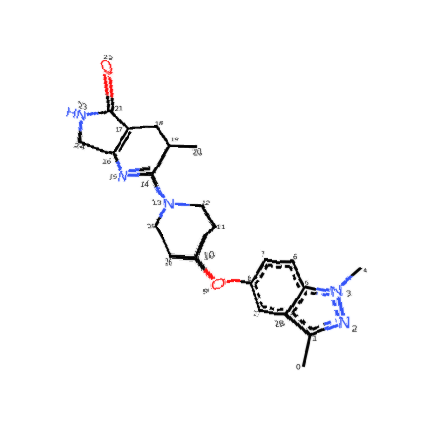 Cc1nn(C)c2ccc(OC3CCN(C4=NC5=C(CC4C)C(=O)NC5)CC3)cc12